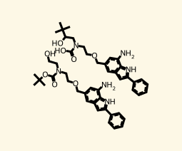 CC(C)(C)C(O)CN(CCOCc1cc(N)c2[nH]c(-c3ccccc3)cc2c1)C(=O)O.CC(C)(C)OC(=O)N(CCO)CCOCc1cc(N)c2[nH]c(-c3ccccc3)cc2c1